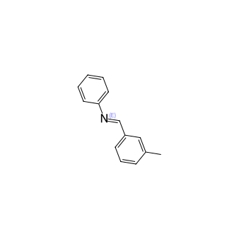 Cc1cccc(/C=N/c2ccccc2)c1